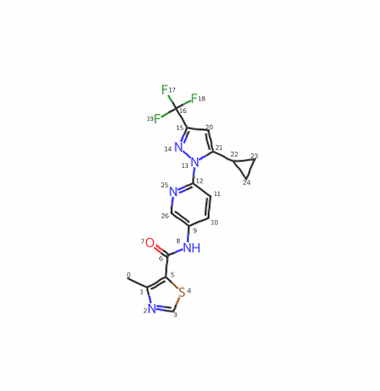 Cc1ncsc1C(=O)Nc1ccc(-n2nc(C(F)(F)F)cc2C2CC2)nc1